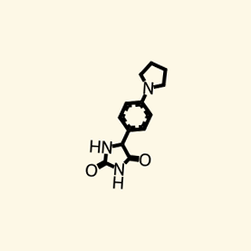 O=C1NC(=O)C(c2ccc(N3CCCC3)cc2)N1